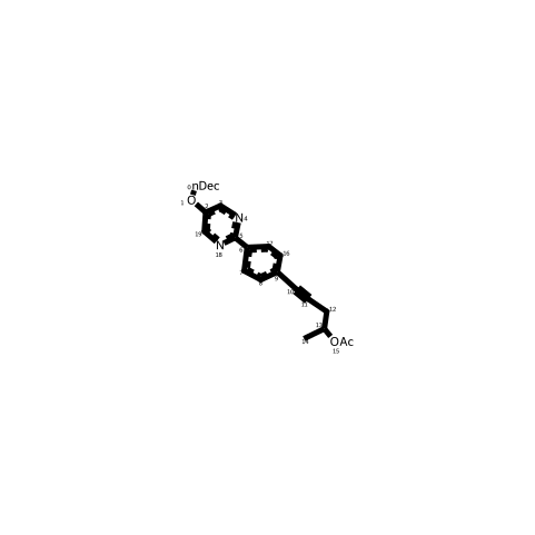 CCCCCCCCCCOc1cnc(-c2ccc(C#CCC(C)OC(C)=O)cc2)nc1